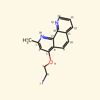 Cc1cc(OCCI)c2ccc3cccnc3c2n1